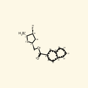 B[C@H]1S[C@H](COC(=O)c2ccc3ccccc3c2)C[C@@H]1F